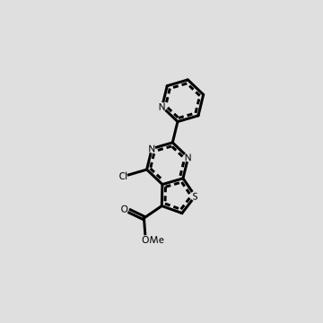 COC(=O)c1csc2nc(-c3ccccn3)nc(Cl)c12